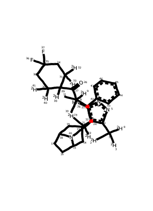 [2H]C([2H])([2H])c1nnc(C([2H])(C)C)n1C1CC2CCC(C1)N2C([2H])([2H])CC(NC(=O)C1([2H])C([2H])([2H])CC(F)(F)CC1([2H])[2H])c1ccccc1